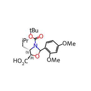 COc1ccc(C2O[C@@H](C(=O)O)[C@H](CC(C)C)N2C(=O)OC(C)(C)C)c(OC)c1